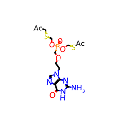 CC(=O)CSCOP(=O)(COCCn1cnc2c(=O)[nH]c(N)nc21)OCSC(C)=O